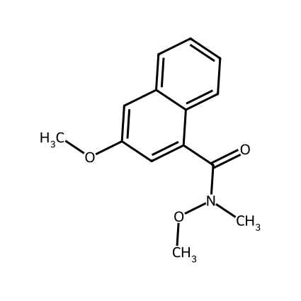 COc1cc(C(=O)N(C)OC)c2ccccc2c1